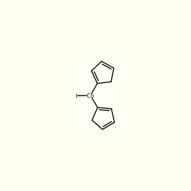 [I][Co]([C]1=CC=CC1)[C]1=CC=CC1